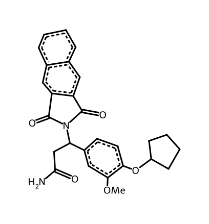 COc1cc(C(CC(N)=O)N2C(=O)c3cc4ccccc4cc3C2=O)ccc1OC1CCCC1